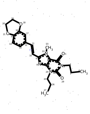 CCCn1c(=O)c2c(nc(/C=C/c3ccc4c(c3)OCCO4)n2C)n(CCC)c1=O